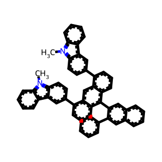 Cn1c2ccccc2c2cc(-c3cccc4c(-c5cc6ccccc6cc5-c5ccccc5)c5cccc(-c6ccc7c(c6)c6ccccc6n7C)c5cc34)ccc21